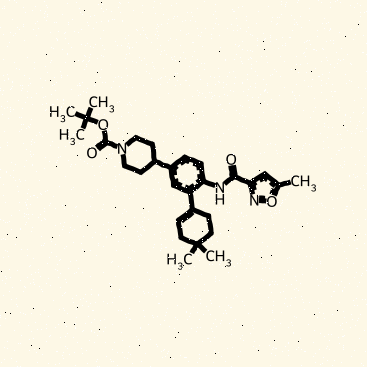 Cc1cc(C(=O)Nc2ccc(C3CCN(C(=O)OC(C)(C)C)CC3)cc2C2=CCC(C)(C)CC2)no1